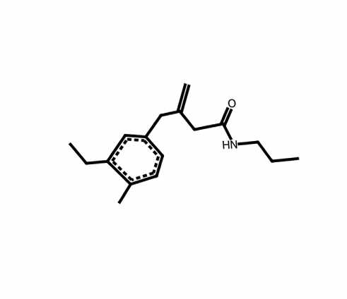 C=C(CC(=O)NCCC)Cc1ccc(C)c(CC)c1